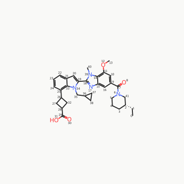 CC[C@@H]1CCCN(C(=O)c2cc(OC)c3c(c2)nc(-c2cc4cccc(C5CC(C(=O)O)C5)c4n2CC2CC2)n3C)C1